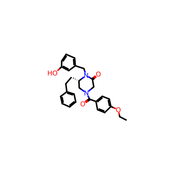 CCOc1ccc(C(=O)N2CC(=O)N(Cc3cccc(O)c3)[C@@H](CCc3ccccc3)C2)cc1